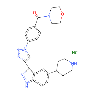 Cl.O=C(c1ccc(-n2cc(-c3n[nH]c4ccc(C5CCNCC5)cc34)nn2)cc1)N1CCOCC1